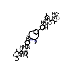 C/C=C1\C=C(\c2ccc3[nH]c([C@@H]4C=C(C)CN4C(=O)[C@@H](NC(=O)OC)C(C)C)nc3c2)[C@H](C)CCc2ccc(c(-c3ccc4[nH]c([C@@H]5C=C(C)CN5C(=O)[C@@H](NC(=O)OC)C(C)C)nc4c3)c2)CC1